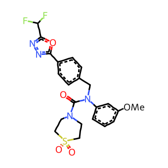 COc1cccc(N(Cc2ccc(-c3nnc(C(F)F)o3)cc2)C(=O)N2CCS(=O)(=O)CC2)c1